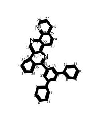 c1ccc(-c2cc(-c3ccccc3)cc(-c3nc4c(cnc5c4ccc4cccnc45)c4ccccc34)c2)cc1